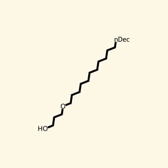 CCCCCCCCCCCCCCCCCCCCCOCCCO